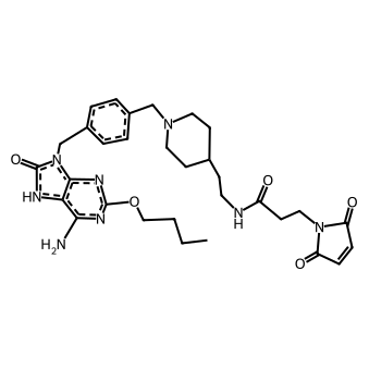 CCCCOc1nc(N)c2[nH]c(=O)n(Cc3ccc(CN4CCC(CCNC(=O)CCN5C(=O)C=CC5=O)CC4)cc3)c2n1